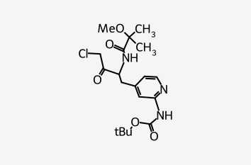 COC(C)(C)C(=O)NC(Cc1ccnc(NC(=O)OC(C)(C)C)c1)C(=O)CCl